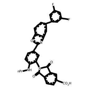 CCCNc1ccc(-c2nc3cc(-c4cc(F)cc(F)c4)ccc3o2)cc1N1C(=O)c2ccc(C(=O)O)cc2C1=O